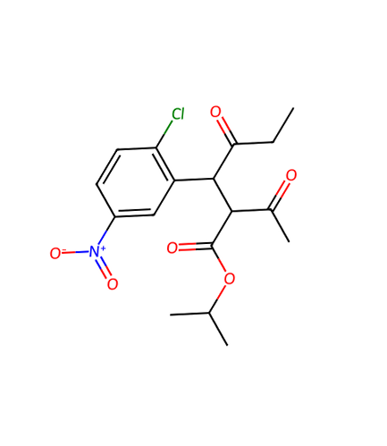 CCC(=O)C(c1cc([N+](=O)[O-])ccc1Cl)C(C(C)=O)C(=O)OC(C)C